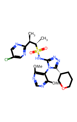 COc1ncnc(OC)c1-n1c(NS(=O)(=O)[C@@H](C)[C@H](C)c2ncc(Cl)cn2)nnc1[C@@H]1CCCOC1